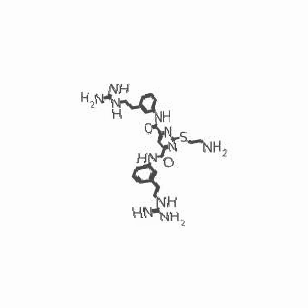 N=C(N)NCCc1cccc(NC(=O)c2cc(C(=O)Nc3cccc(CCNC(=N)N)c3)nc(SCCN)n2)c1